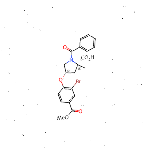 COC(=O)c1ccc(O[C@@H]2CN(C(=O)c3ccccc3)[C@](C)(C(=O)O)C2)c(Br)c1